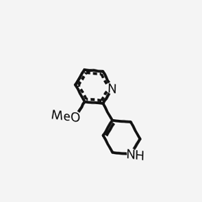 COc1cccnc1C1=CCNCC1